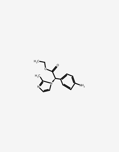 CCOC(=O)[C@@H](c1ccc(N)cc1)n1ccnc1C